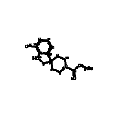 CC(C)(C)OC(=O)N1CCC(CO)(c2cccc(Cl)c2)CC1